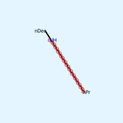 CCCCCCCCCCCCCCCCCCCCCC(=O)NCCOCCOCCOCCOCCOCCOCCOCCOCCOCCOCCOCCOCCOCCOCCOCCOCCOCCOCCOCCOCCOCCOCCOCCC